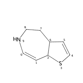 C1=CC2SC=CC2CCN1